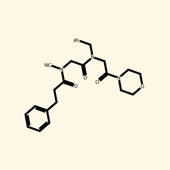 CC(C)CN(CC(=O)N1CCOCC1)C(=O)CN(C#N)C(=O)CCc1ccccc1